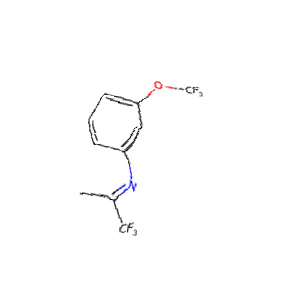 CC(=Nc1cccc(OC(F)(F)F)c1)C(F)(F)F